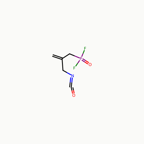 C=C(CN=C=O)CP(=O)(F)F